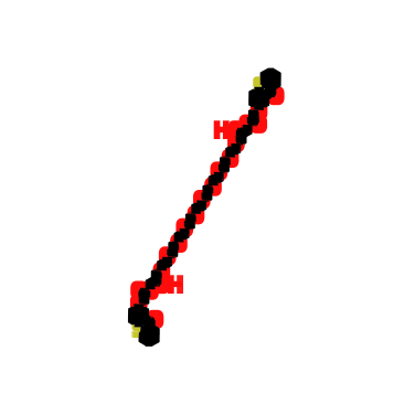 O=C(COc1ccc2sc3ccccc3c(=O)c2c1)OCC(O)COCCOCCOCCOCCOCCOCCOCCOCCOCCOCC(O)COC(=O)COc1ccc2sc3ccccc3c(=O)c2c1